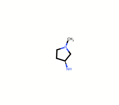 CN1CC[C@H]([NH])C1